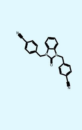 N#Cc1ccc(Cn2c(=O)n(Cc3ccc(C#N)cc3)c3ccccc32)cc1